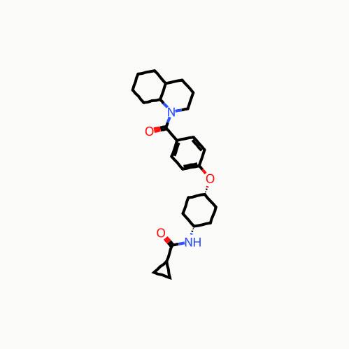 O=C(N[C@H]1CC[C@@H](Oc2ccc(C(=O)N3CCCC4CCCCC43)cc2)CC1)C1CC1